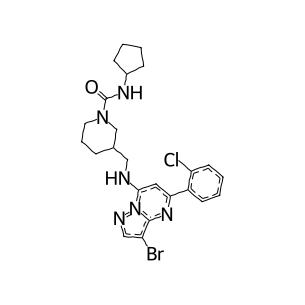 O=C(NC1CCCC1)N1CCCC(CNc2cc(-c3ccccc3Cl)nc3c(Br)cnn23)C1